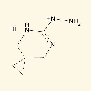 I.NNC1=NCC2(CC2)CN1